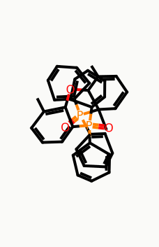 CC1=CC=CC(C)(P(=O)(c2ccccc2)c2ccccc2)C1Oc1c(C)cccc1P(=O)(c1ccccc1)c1ccccc1